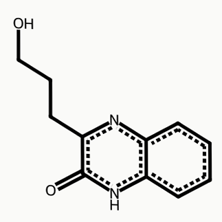 O=c1[nH]c2ccccc2nc1CCCO